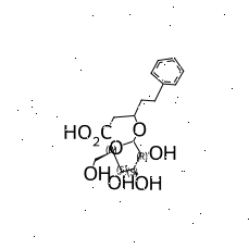 O=C(O)CC(CCc1ccccc1)OC1O[C@H](CO)[C@@H](O)[C@H](O)[C@H]1O